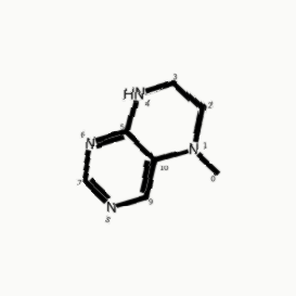 CN1CCNc2ncncc21